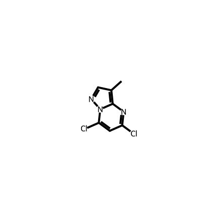 Cc1cnn2c(Cl)cc(Cl)nc12